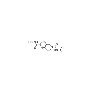 CCC(C)NC(=O)N1CCc2nc(C(=O)NO)ccc2C1